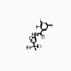 CCC(C)(CC)c1cc(NC(=O)c2cc(I)cc(I)c2I)on1